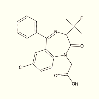 CC(C)(F)C1N=C(c2ccccc2)c2cc(Cl)ccc2N(CC(=O)O)C1=O